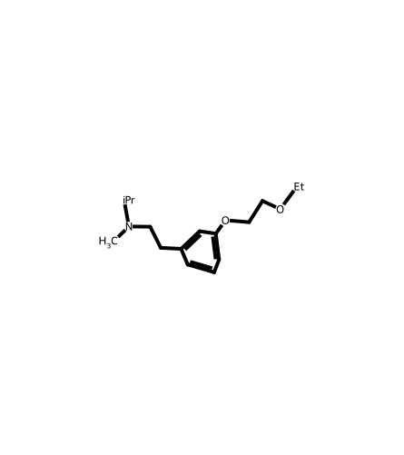 CCOCCOc1cccc(CCN(C)C(C)C)c1